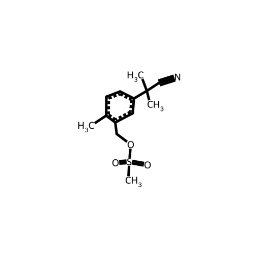 Cc1ccc(C(C)(C)C#N)cc1COS(C)(=O)=O